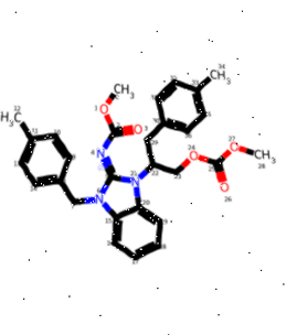 COC(=O)/N=c1/n(Cc2ccc(C)cc2)c2ccccc2n1C(COC(=O)OC)Cc1ccc(C)cc1